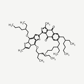 CCCCC(CC)COC1=c2cc(-c3sc(C)c4c3C(=O)c3cc(CC(CC)CCCC)c(CC(CC)CCCC)cc3C4=O)sc2=C(OCC(CC)CCCC)C2C=C(C)SC12